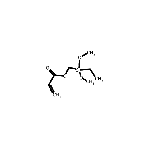 C=CC(=O)OC[Si](CC)(OC)OC